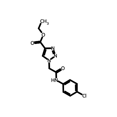 CCOC(=O)c1cn(CC(=O)Nc2ccc(Cl)cc2)nn1